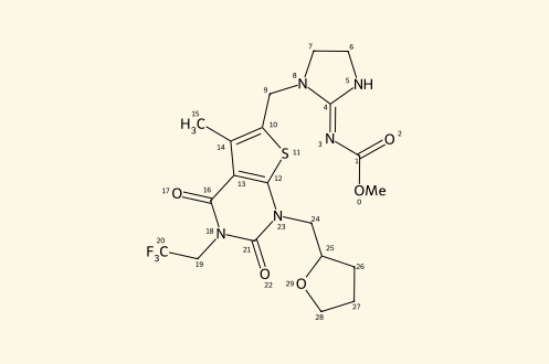 COC(=O)N=C1NCCN1Cc1sc2c(c1C)c(=O)n(CC(F)(F)F)c(=O)n2CC1CCCO1